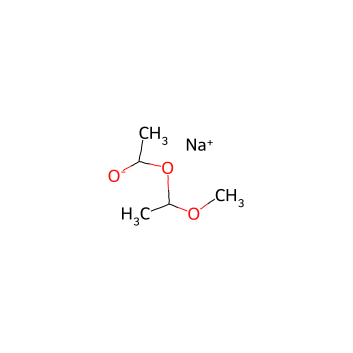 COC(C)OC(C)[O-].[Na+]